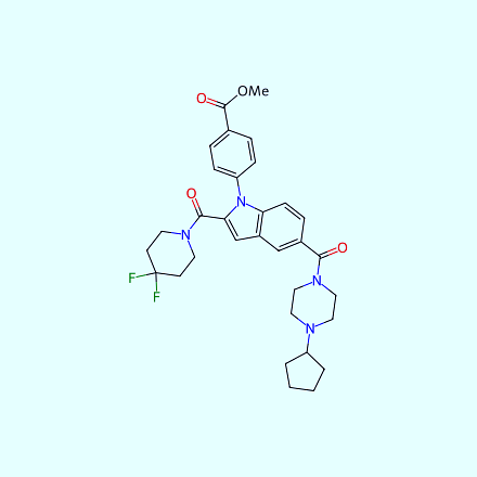 COC(=O)c1ccc(-n2c(C(=O)N3CCC(F)(F)CC3)cc3cc(C(=O)N4CCN(C5CCCC5)CC4)ccc32)cc1